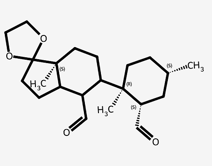 C[C@H]1CC[C@](C)(C2CC[C@@]3(C)C(CCC34OCCO4)C2C=O)[C@@H](C=O)C1